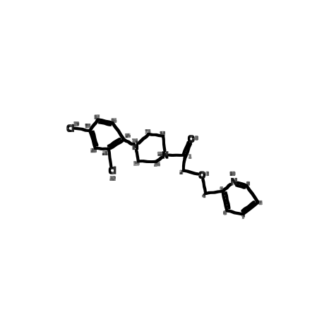 O=C(COCc1ccccn1)N1CCN(c2ccc(Cl)cc2Cl)CC1